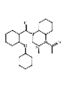 CC(=O)N1C2CCCCC2N(C(=O)C2CCCCC2OC2CCCCC2)C[C@@H]1C